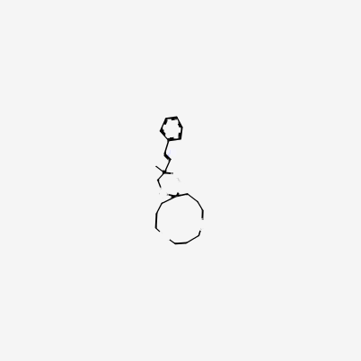 CC1(/C=C/c2ccccc2)COC2(CCCCCCCCCCC2)OO1